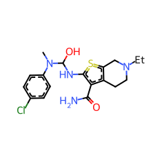 CCN1CCc2c(sc(NC(O)N(C)c3ccc(Cl)cc3)c2C(N)=O)C1